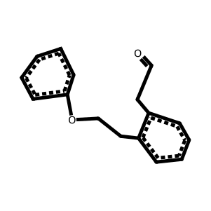 O=CCc1ccccc1CCOc1ccccc1